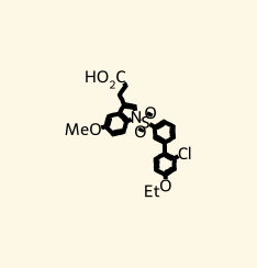 CCOc1ccc(-c2cccc(S(=O)(=O)n3cc(CCC(=O)O)c4cc(OC)ccc43)c2)c(Cl)c1